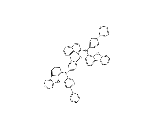 C1=c2c(oc3ccccc23)=C(N(c2ccc(-c3ccccc3)cc2)c2ccc3c(c2)-c2cccc4ccc(N(c5ccc(-c6ccccc6)cc5)c5cccc6c5oc5ccccc56)c(c24)O3)CC1